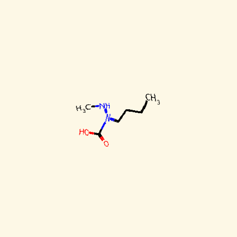 CCCCN(NC)C(=O)O